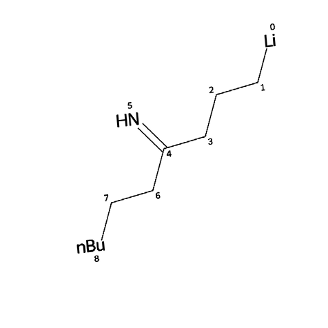 [Li][CH2]CCC(=N)CCCCCC